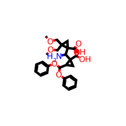 COCC1(COC)CC1(C(=O)O)C(N)C1(C(=O)O)CC1C(Oc1ccccc1)Oc1ccccc1